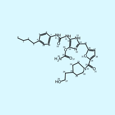 CCCCc1ccc(NC(=O)Nc2[nH]c(Cc3ccc(C(=O)N4CCC(CCO)CC4)o3)nc2OC(N)=O)cc1